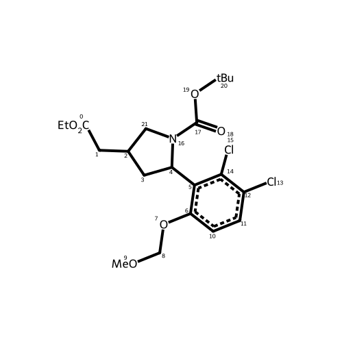 CCOC(=O)CC1CC(c2c(OCOC)ccc(Cl)c2Cl)N(C(=O)OC(C)(C)C)C1